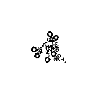 CC(C)(C)[Si](OCCN(CCO[Si](c1ccccc1)(c1ccccc1)C(C)(C)C)C(=O)C[C@H](CSc1ccccc1)Nc1ccc(S(N)(=O)=O)cc1S(=O)(=O)C(F)(F)F)(c1ccccc1)c1ccccc1